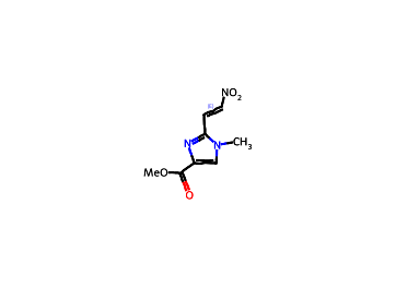 COC(=O)c1cn(C)c(/C=C/[N+](=O)[O-])n1